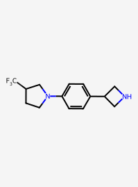 FC(F)(F)C1CCN(c2ccc(C3CNC3)cc2)C1